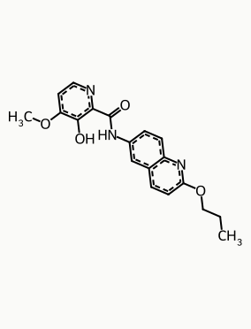 CCCOc1ccc2cc(NC(=O)c3nccc(OC)c3O)ccc2n1